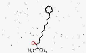 CC(C)C(=O)CCCCCCCCCc1ccccc1